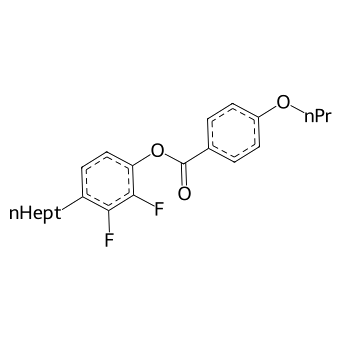 CCCCCCCc1ccc(OC(=O)c2ccc(OCCC)cc2)c(F)c1F